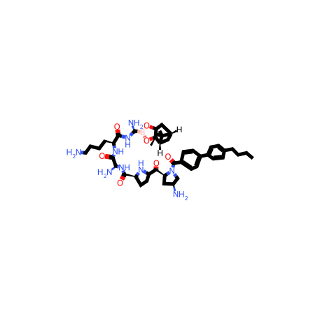 CCCCc1ccc(-c2ccc(C(=O)N3C[C@@H](N)C[C@H]3C(=O)C3CC[C@@H](C(=O)N[C@@H](N)C(=O)N[C@@H](CCCCN)C(=O)N[C@@H](N)B4OC5C[C@@H]6C[C@@H](C6(C)C)[C@]5(C)O4)N3)cc2)cc1